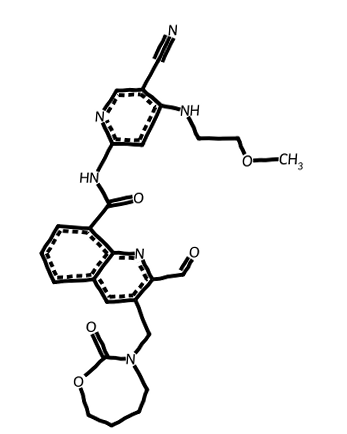 COCCNc1cc(NC(=O)c2cccc3cc(CN4CCCCOC4=O)c(C=O)nc23)ncc1C#N